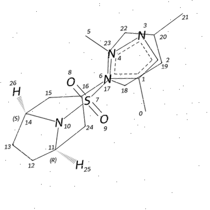 Cc1cnn(C)c1S(=O)(=O)N1[C@@H]2CC[C@H]1CC(N1CCC(C)CC1)C2